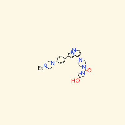 CCN1CCN(c2ccc(-c3cc4c(N5CCN(C(=O)N6CC(O)C6)CC5)ccnn4c3)cc2)CC1